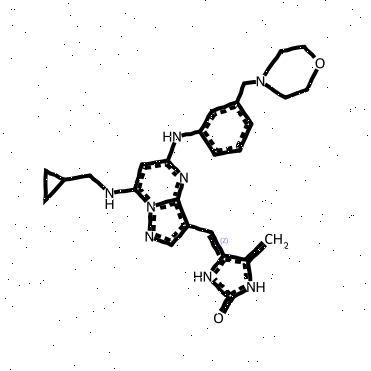 C=c1[nH]c(=O)[nH]/c1=C\c1cnn2c(NCC3CC3)cc(Nc3cccc(CN4CCOCC4)c3)nc12